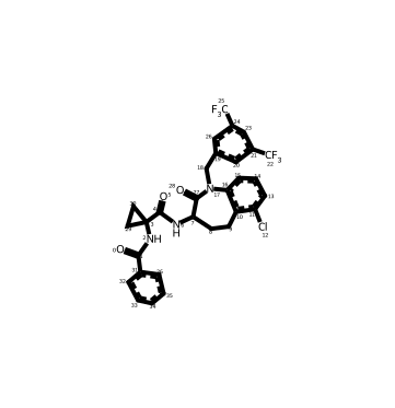 O=C(NC1(C(=O)NC2CCc3c(Cl)cccc3N(Cc3cc(C(F)(F)F)cc(C(F)(F)F)c3)C2=O)CC1)c1ccccc1